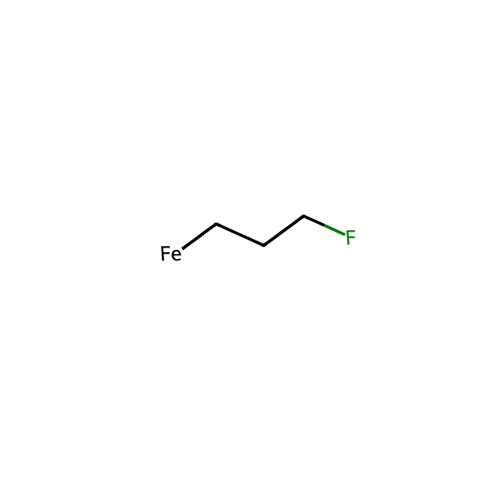 FCC[CH2][Fe]